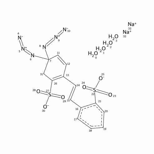 O.O.O.O.[N-]=[N+]=NC1(N=[N+]=[N-])C=CC(C=Cc2ccccc2S(=O)(=O)[O-])=C(S(=O)(=O)[O-])C1.[Na+].[Na+]